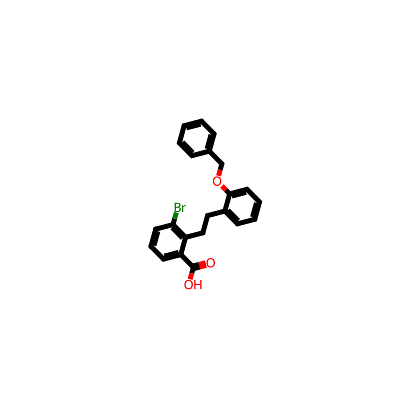 O=C(O)c1cccc(Br)c1CCc1ccccc1OCc1ccccc1